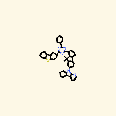 CC1(C)c2cc(-n3c4ccccc4c4cccnc43)ccc2-c2cccc(-c3nc(-c4ccccc4)nc(-c4ccc5sc6ccccc6c5c4)n3)c21